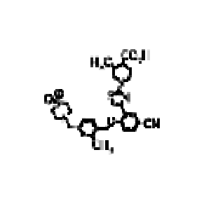 Cc1cc(CN2CCS(=O)(=O)CC2)ccc1COc1ccc(C#N)cc1-c1csc(N2CCC(C(=O)O)C(C)C2)n1